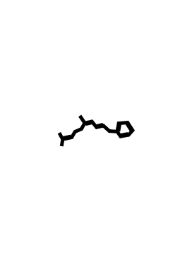 CC(C)=CCCC(C)=CC=CCc1ccccc1